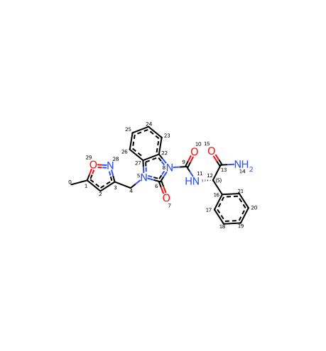 Cc1cc(Cn2c(=O)n(C(=O)N[C@H](C(N)=O)c3ccccc3)c3ccccc32)no1